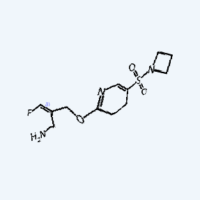 NC/C(=C\F)COC1=NC=C(S(=O)(=O)N2CCC2)CC1